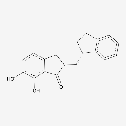 O=C1c2c(ccc(O)c2O)CN1C[C@@H]1CCc2ccccc21